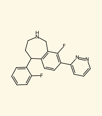 Fc1ccccc1C1CCNCc2c1ccc(-c1cccnn1)c2F